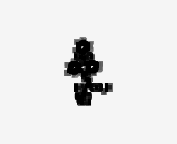 CC(C)(C)OC(=O)N[C@@H](CS[Se]c1ccccc1N(c1ccccc1)S(=O)(=O)c1ccccc1)C(=O)O